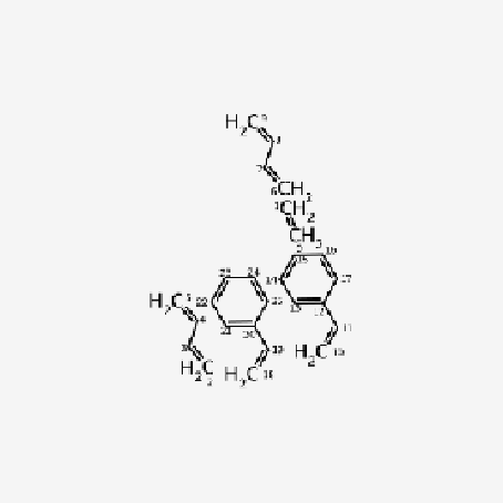 C=C.C=CC=C.C=CC=C.C=Cc1ccccc1.C=Cc1ccccc1